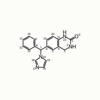 O=C1NCc2cc(C(c3ccccc3)n3ccnc3)ccc2N1